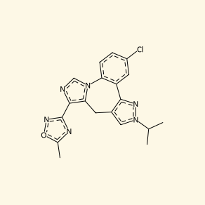 Cc1nc(-c2ncn3c2Cc2cn(C(C)C)nc2-c2cc(Cl)ccc2-3)no1